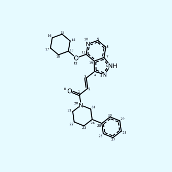 O=C(C=Cc1n[nH]c2ccnc(OC3CCCCC3)c12)N1CCCC(c2ccccc2)C1